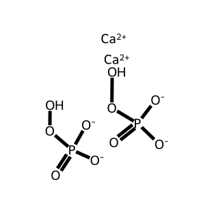 O=P([O-])([O-])OO.O=P([O-])([O-])OO.[Ca+2].[Ca+2]